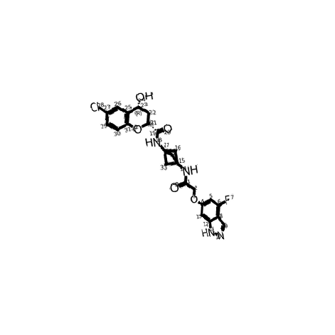 O=C(COc1cc(F)c2cn[nH]c2c1)NC12CC(NC(=O)[C@H]3C[C@@H](O)c4cc(Cl)ccc4O3)(C1)C2